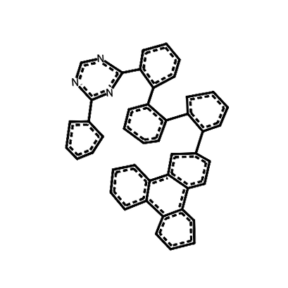 c1ccc(-c2ncnc(-c3ccccc3-c3ccccc3-c3ccccc3-c3ccc4c5ccccc5c5ccccc5c4c3)n2)cc1